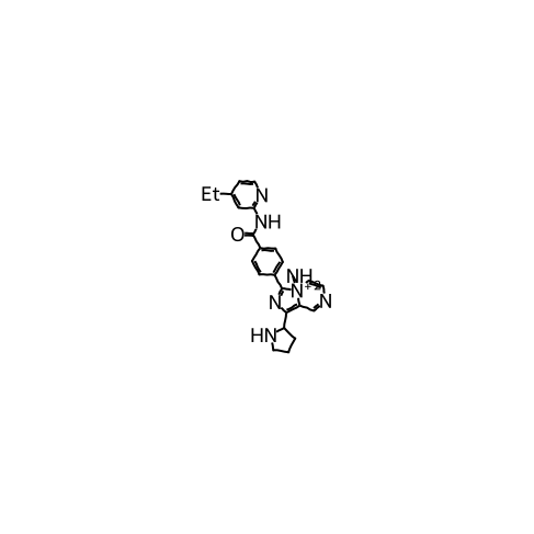 CCc1ccnc(NC(=O)c2ccc(C3=NC(C4CCCN4)=C4C=NC=C[N+]34N)cc2)c1